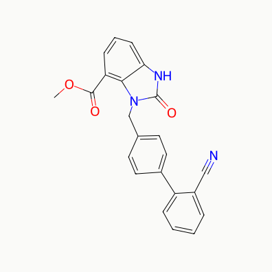 COC(=O)c1cccc2[nH]c(=O)n(Cc3ccc(-c4ccccc4C#N)cc3)c12